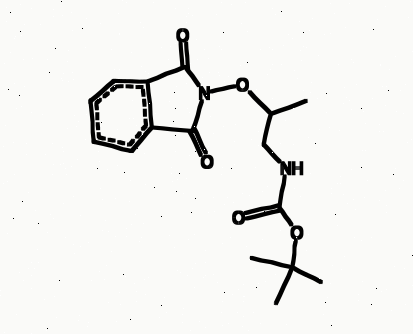 CC(CNC(=O)OC(C)(C)C)ON1C(=O)c2ccccc2C1=O